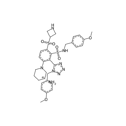 COc1ccc(CNS(=O)(=O)c2c(S(=O)(=O)C3CNC3)ccc(N3CCC[C@@H](N)C3)c2-c2nnnn2Cc2ccc(OC)cc2)cc1